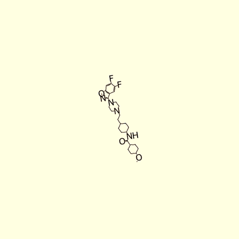 COC1CCC(C(=O)NC2CCC(CCN3CCN(c4noc5cc(F)c(F)cc45)CC3)CC2)CC1